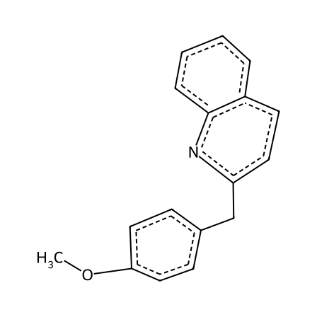 COc1ccc(Cc2ccc3ccccc3n2)cc1